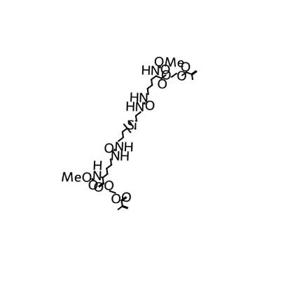 C=C(C)C(=O)OCCOC(=O)C(CCCCNC(=O)NCCCC(C)(C)[Si](C)(C)CCCNC(=O)NCCCCC(NC(=O)OC)C(=O)OCCOC(=O)C(=C)C)NC(=O)OC